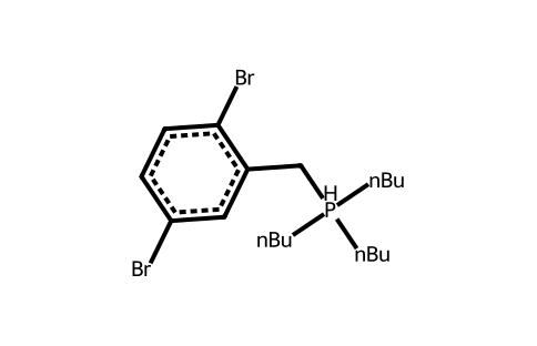 CCCC[PH](CCCC)(CCCC)Cc1cc(Br)ccc1Br